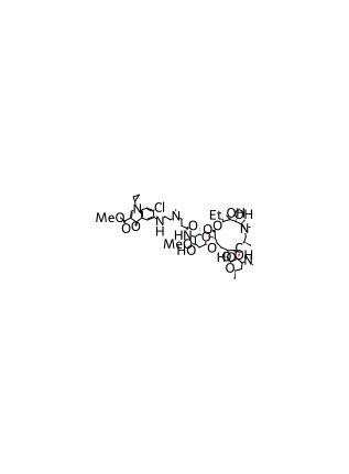 CC[C@@H]1OC(=O)[C@H](C)[C@H](O[C@@H]2C[C@@](O)(OC)C(NC(=O)CCN(C)CCNc3cc4c(=O)c(C(=O)OC)cn(C5CC5)c4cc3Cl)[C@H](C)O2)[C@@H](C)[C@H](O[C@@H]2O[C@H](C)C[C@H](N(C)C)[C@H]2O)C(C)(O)C[C@H](C)CN(C)[C@H](C)[C@@H](O)C1(C)O